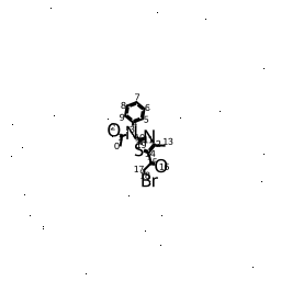 CC(=O)N(c1ccccc1)c1nc(C)c(C(=O)CBr)s1